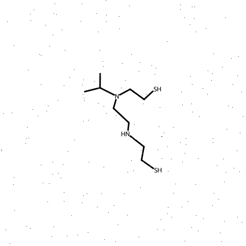 CC(C)N(CCS)CCNCCS